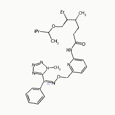 CCC(COC(C)C(C)C)C(C)CCC(=O)Nc1cccc(CO/N=C(/c2ccccc2)c2nnnn2C)n1